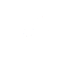 O=C(O)CC(=O)N(c1cccc(O)c1)C1C(=O)N2CC(Cl)(C(=O)O)CS[C@H]12